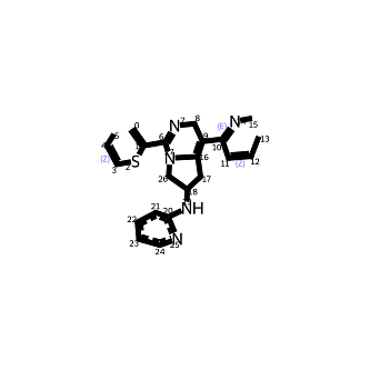 C=C(S/C=C\C)C1=NCC(C(/C=C\C)=N/C)=C2CC(Nc3ccccn3)CN12